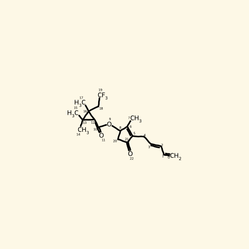 C=CC=CCC1=C(C)C(OC(=O)C2C(C)(C)C2(C)CC(F)(F)F)CC1=O